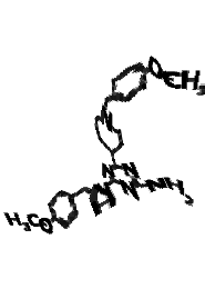 COc1ccc(CNc2nc(N)nc(C3CCN(Cc4ccc(OC)cc4)CC3)n2)cc1